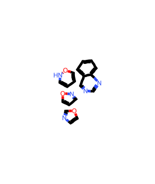 C1=CNOC=C1.c1ccc2ncncc2c1.c1cnoc1.c1cocn1